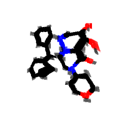 O=C1C2=C(O)C(O)C=NN2[C@@H](C(c2ccccc2)c2ccccc2)CN1C1CCOCC1